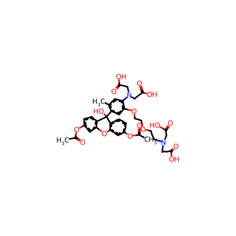 CC(=O)Oc1ccc2c(c1)Oc1cc(OC(C)=O)ccc1C2(O)c1cc(OCCOCCN(CC(=O)O)CC(=O)O)c(N(CC(=O)O)CC(=O)O)cc1C